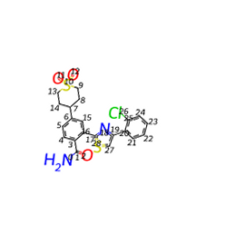 NC(=O)c1ccc(C2CCS(=O)(=O)CC2)cc1-c1nc(-c2ccccc2Cl)cs1